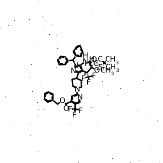 CC(C)(C)[Si](C)(C)OC1C(=O)Nc2c(c(C3CCN(c4cc(C(=O)OCc5ccccc5)c(C(F)(F)F)cn4)CC3)nn2C(c2ccccc2)c2ccccc2)[C@H]1C(F)(F)F